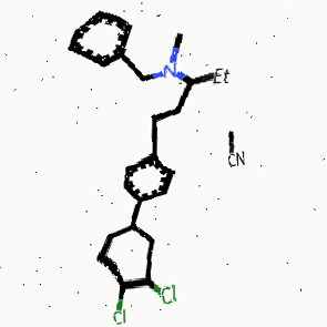 CC#N.CCC(CCc1ccc(C2CCC(Cl)C(Cl)C2)cc1)N(C)Cc1ccccc1